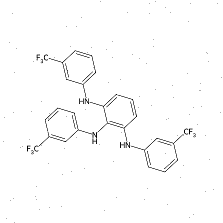 FC(F)(F)c1cccc(Nc2cccc(Nc3cccc(C(F)(F)F)c3)c2Nc2cccc(C(F)(F)F)c2)c1